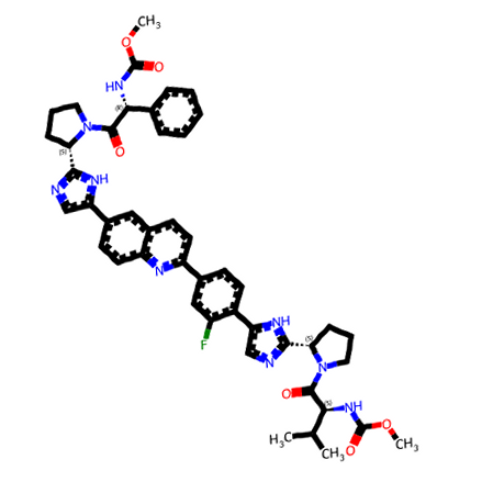 COC(=O)N[C@H](C(=O)N1CCC[C@H]1c1ncc(-c2ccc(-c3ccc4cc(-c5cnc([C@@H]6CCCN6C(=O)[C@H](NC(=O)OC)c6ccccc6)[nH]5)ccc4n3)cc2F)[nH]1)C(C)C